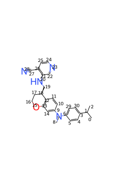 CC(C)c1ccc(N(C)c2ccc3c(c2)OCC[C@H]3CNc2cnccc2C#N)cc1